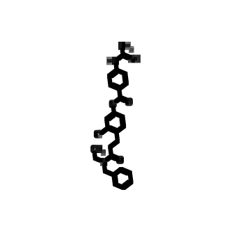 CCN(Cc1ccccc1)C(=O)CCc1ccc(OC(=O)c2ccc(NC(=N)N)cc2)cc1Cl